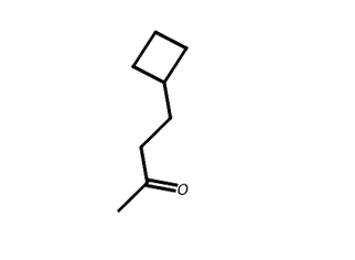 CC(=O)CCC1CCC1